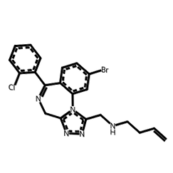 C=CCCNCc1nnc2n1-c1cc(Br)ccc1C(c1ccccc1Cl)=NC2